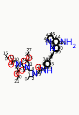 CCCN(CCN(CCN(CC(=O)OCC)CC(=O)OCC)CC(=O)OCC)CC(=O)Nc1ccc(C#Cc2ccc3c(N)cc4cccnc4c3n2)cc1